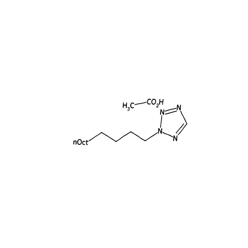 CC(=O)O.CCCCCCCCCCCCn1ncnn1